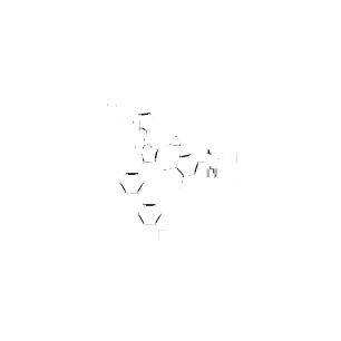 C[SH](N)(=O)c1ccc(Cc2c(-c3cccc(-c4ccc(F)cc4)c3)nn(-c3nc(C(=O)O)cs3)c2C2CC2)c(F)c1